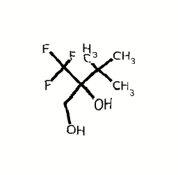 CC(C)(C)C(O)(CO)C(F)(F)F